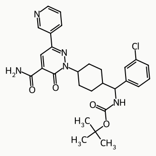 CC(C)(C)OC(=O)NC(c1cccc(Cl)c1)C1CCC(n2nc(-c3cccnc3)cc(C(N)=O)c2=O)CC1